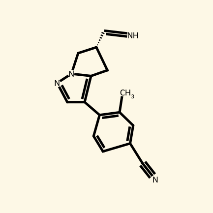 Cc1cc(C#N)ccc1-c1cnn2c1C[C@@H](C=N)C2